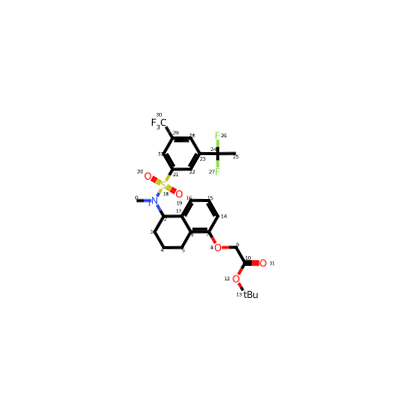 CN(C1CCCc2c(OCC(=O)OC(C)(C)C)cccc21)S(=O)(=O)c1cc(C(C)(F)F)cc(C(F)(F)F)c1